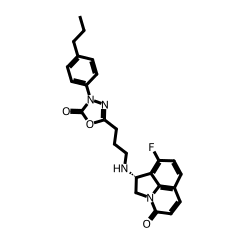 CCCc1ccc(-n2nc(CCCN[C@H]3Cn4c(=O)ccc5ccc(F)c3c54)oc2=O)cc1